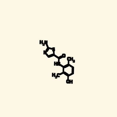 Cc1ccc(O)c(C)c1NC(=O)c1cnc(N)s1